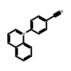 N#Cc1ccc(-[n+]2cccc3ccccc32)cc1